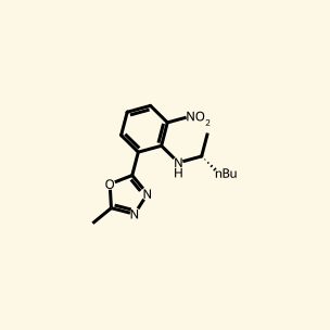 [CH2]CCC[C@@H](C)Nc1c(-c2nnc(C)o2)cccc1[N+](=O)[O-]